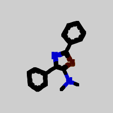 CN(C)c1sc(-c2ccccc2)nc1-c1ccccc1